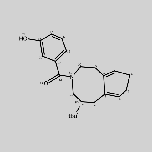 CC(C)(C)[C@H]1CC2=CCCC=C2CCN(C(=O)c2cccc(O)c2)C1